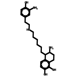 Nc1cc(CCNCCCCCCC2c3ccc(O)c(O)c3CCC2N)ccc1O